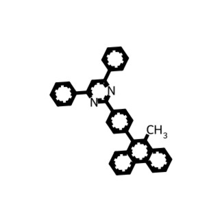 Cc1c(-c2ccc(-c3nc(-c4ccccc4)cc(-c4ccccc4)n3)cc2)c2ccccc2c2ccccc12